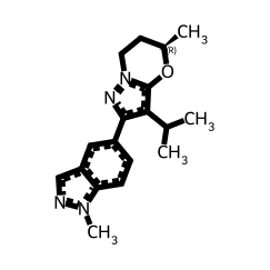 CC(C)c1c(-c2ccc3c(cnn3C)c2)nn2c1O[C@H](C)CC2